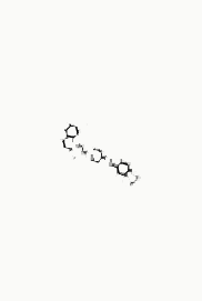 Cc1ccc2c(ccc(=O)n2CCN2CCC(NCc3ccc4c(c3)OCCO4)CC2)c1